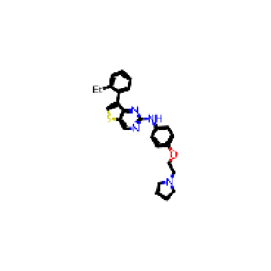 CCc1ccccc1-c1csc2cnc(Nc3ccc(OCCN4CCCC4)cc3)nc12